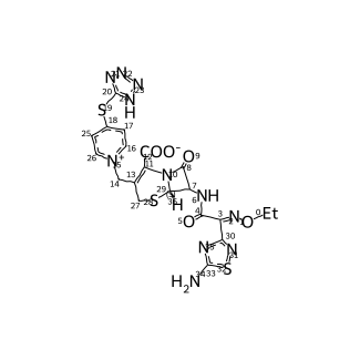 CCON=C(C(=O)NC1C(=O)N2C(C(=O)[O-])=C(C[n+]3ccc(Sc4nnn[nH]4)cc3)CS[C@@H]12)c1nsc(N)n1